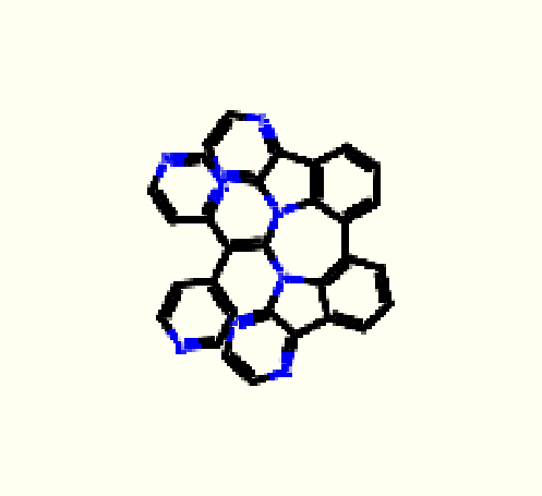 c1cc2c3cccc4c5nccnc5n(c(=C(c5ccncc5)c5ccncn5)n5c6nccnc6c(c1)c25)c34